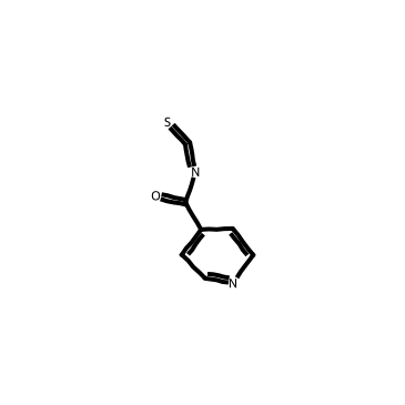 O=C(N=C=S)c1ccncc1